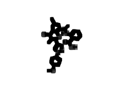 COc1ccc(-n2cc(-c3oc4c([C@@H](C)Nc5ccccc5C(=O)O)cc(C)cc4c(=O)c3C)cn2)cc1